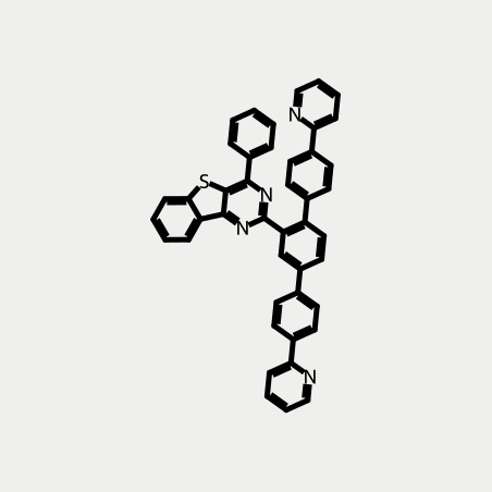 c1ccc(-c2nc(-c3cc(-c4ccc(-c5ccccn5)cc4)ccc3-c3ccc(-c4ccccn4)cc3)nc3c2sc2ccccc23)cc1